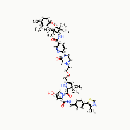 Cc1ncsc1-c1ccc(CNC(=O)[C@@H]2C[C@@H](O)CN2C(=O)C2NC(COCCN3CCN(c4ccc(C(=O)N[C@H]5C(C)(C)[C@H](Oc6ccc(C#N)c(C(F)(F)F)c6)C5(C)C)cn4)C(=O)C3)=CC2(C)C)cc1